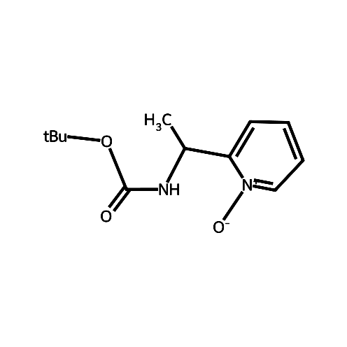 CC(NC(=O)OC(C)(C)C)c1cccc[n+]1[O-]